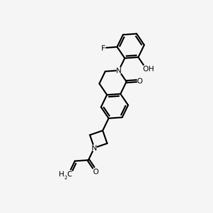 C=CC(=O)N1CC(c2ccc3c(c2)CCN(c2c(O)cccc2F)C3=O)C1